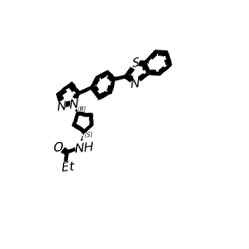 CCC(=O)N[C@H]1CC[C@@H](n2nccc2-c2ccc(-c3nc4ccccc4s3)cc2)C1